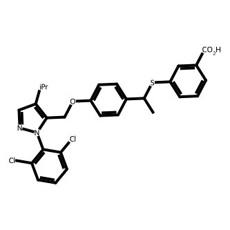 CC(C)c1cnn(-c2c(Cl)cccc2Cl)c1COc1ccc(C(C)Sc2cccc(C(=O)O)c2)cc1